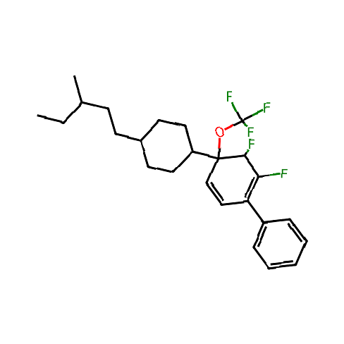 CCC(C)CCC1CCC(C2(OC(F)(F)F)C=CC(c3ccccc3)=C(F)C2F)CC1